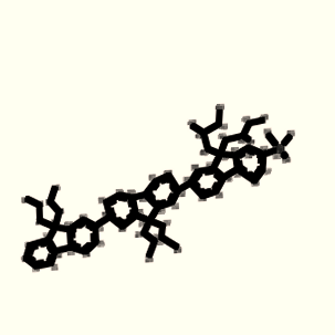 CCCC1(CCC)c2ccccc2-c2ccc(-c3ccc4c(c3)C(CCC)(CCC)c3cc(-c5ccc6c(c5)C(CC(C)CC)(CC(C)CC)c5cc([Si](C)(C)C)ccc5-6)ccc3-4)cc21